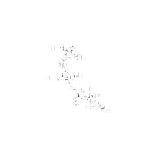 COc1ccc2c(c1)C(=O)NC(c1ccc(OCCCOc3c(OC)cc(C4=NOC(c5cc(OC)c(OC)c(OC)c5)C4)cc3OC)c(OC)c1)N2